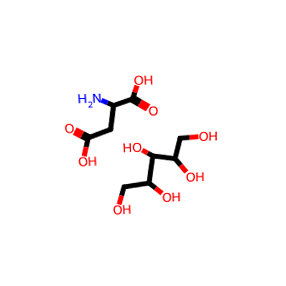 NC(CC(=O)O)C(=O)O.OCC(O)C(O)C(O)CO